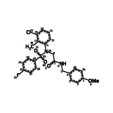 COc1ccc(CNC(=O)CN(c2cccc(Cl)c2C)S(=O)(=O)c2ccc(F)cc2)cc1